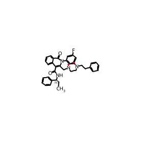 CC[C@H](NC(=O)c1c(CN2CCN(CCc3ccccc3)CC2)n(-c2cccc(F)c2)c(=O)c2ccccc12)c1ccccc1